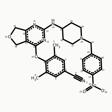 Cc1cc(C#N)cc(C)c1Oc1nc(NC2CCN(Cc3ccc([N+](=O)[O-])cc3)CC2)nc2c1COC2